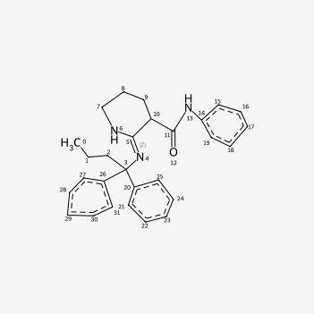 CCCC(/N=C1\NCCCC1C(=O)Nc1ccccc1)(c1ccccc1)c1ccccc1